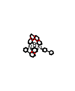 c1ccc(-c2ccc(N3c4cccc(-c5ccccc5)c4B4c5c(-c6ccccc6)cccc5N(c5ccccc5-c5ccccc5)c5cccc3c54)cc2)cc1